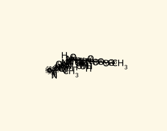 CCOCCOCCOCCOCCC(=O)NCCCN(C[C@@H](O)CNC(=O)c1ncn(-c2ncc(OC)c3c(C(=O)C(=O)N4CCC(=C(C#N)c5ccccc5)CC4)c[nH]c23)n1)C(CO)CO